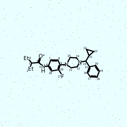 CCC(CC)C(=O)Nc1ccc(N2CCN(C(c3ccccc3)C3CC3)CC2)c(F)c1